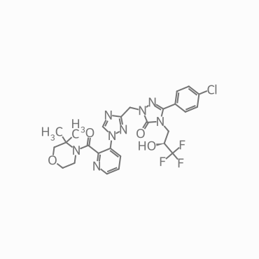 CC1(C)COCCN1C(=O)c1ncccc1-n1cnc(Cn2nc(-c3ccc(Cl)cc3)n(C[C@H](O)C(F)(F)F)c2=O)n1